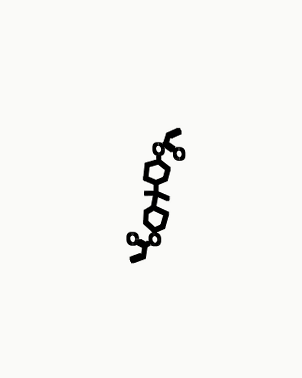 C=CC(=O)OC1CCC(C(C)(C)C2CCC(OC(=O)C=C)CC2)CC1